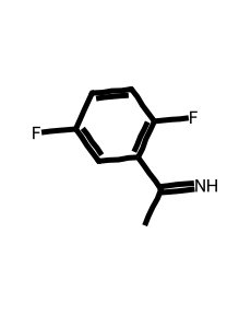 CC(=N)c1cc(F)ccc1F